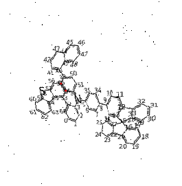 c1ccc(N(c2ccc(-c3ccc4c(c3)C3(c5ccccc5-c5ccccc53)c3ccccc3-4)cc2)c2ccc(-c3cccc4ccccc34)cc2)c(-c2cccc3sc4ccccc4c23)c1